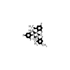 C=Cc1cc(F)cc(F)c1N1C(=C)N(c2c(C)cc(F)cc2F)C(=C)N(c2c(C)cc(C)cc2F)C1=O